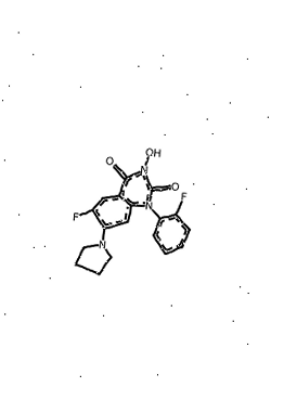 O=c1c2cc(F)c(N3CCCC3)cc2n(-c2ccccc2F)c(=O)n1O